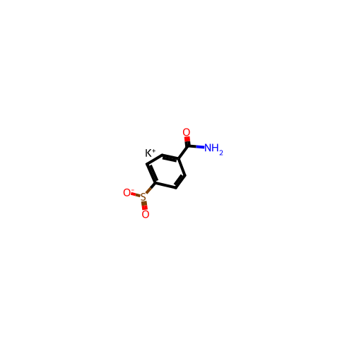 NC(=O)c1ccc(S(=O)[O-])cc1.[K+]